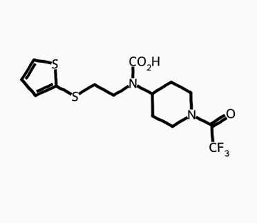 O=C(O)N(CCSc1cccs1)C1CCN(C(=O)C(F)(F)F)CC1